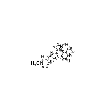 CN1CCC(Sc2nc(-c3cc(Cl)c4ncccc4c3)c(-c3ccn(C)n3)nc2N)CC1